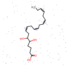 CC/C=C\C/C=C\C/C=C\C/C=C\CC(O)C(O)CCCC(=O)O